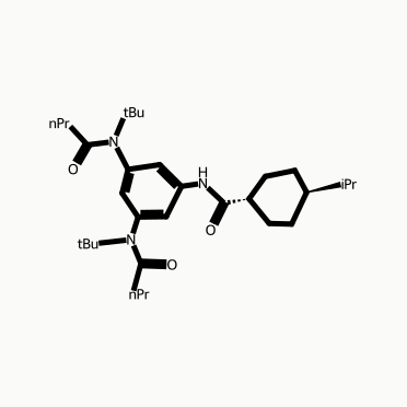 CCCC(=O)N(c1cc(NC(=O)[C@H]2CC[C@H](C(C)C)CC2)cc(N(C(=O)CCC)C(C)(C)C)c1)C(C)(C)C